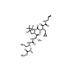 C=CCNC(=O)C(=O)C(CC1CC1)NC(=O)[C@@H]1[C@@H]2[C@H](CN1C(=O)[C@@H](NC(=O)N[C@H](CN(C)C(=O)OC(C)(C)C)CC(C)(C)C)C(C)(C)C)C2(C)C